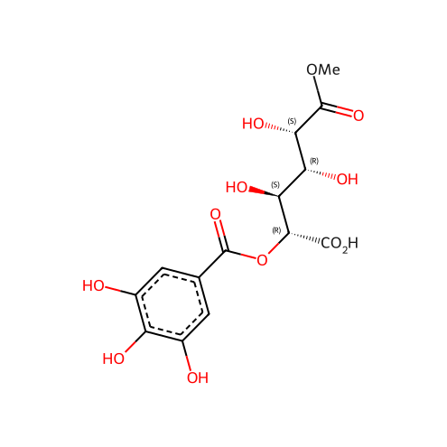 COC(=O)[C@@H](O)[C@H](O)[C@H](O)[C@@H](OC(=O)c1cc(O)c(O)c(O)c1)C(=O)O